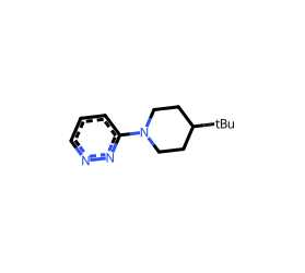 CC(C)(C)C1CCN(c2cccnn2)CC1